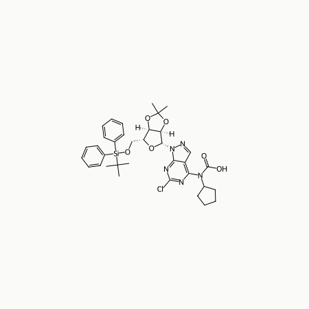 CC1(C)O[C@@H]2[C@H](O1)[C@@H](CO[Si](c1ccccc1)(c1ccccc1)C(C)(C)C)O[C@H]2n1ncc2c(N(C(=O)O)C3CCCC3)nc(Cl)nc21